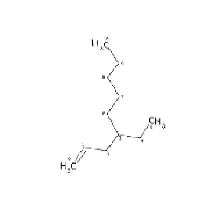 C=C[CH]C(CC)CCCCC